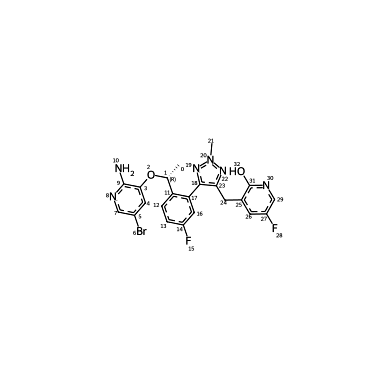 C[C@@H](Oc1cc(Br)cnc1N)c1ccc(F)cc1-c1nn(C)nc1Cc1cc(F)cnc1O